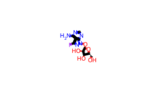 Nc1ncnc2c1c(I)nn2O[C@H]1O[C@H](CO)[C@@H](O)[C@H]1O